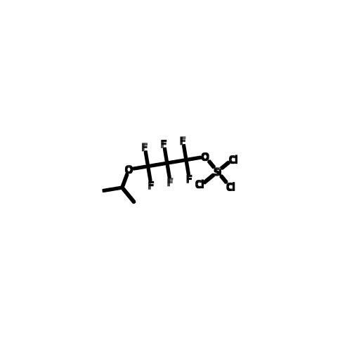 CC(C)OC(F)(F)C(F)(F)C(F)(F)O[Si](Cl)(Cl)Cl